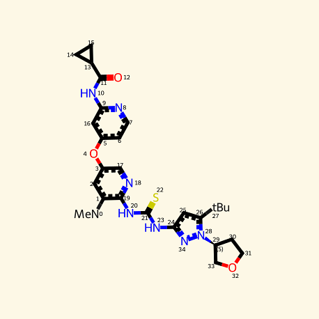 CNc1cc(Oc2ccnc(NC(=O)C3CC3)c2)cnc1NC(=S)Nc1cc(C(C)(C)C)n([C@H]2CCOC2)n1